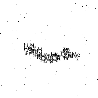 COC(=O)N[C@H](CC(CCCN)c1nc2cc(F)c(-c3ccc4c(ccc5nc(C(CCCN)C[C@@H](NO)C(C)C)[nH]c54)c3)cc2[nH]1)C(C)C